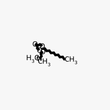 CCCCCCCCCCCC1(OCCN(C)C)OCC(=O)CO1